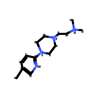 Cc1ccc(N2CCN(CCN(C)C)CC2)nc1